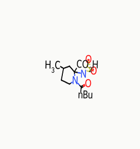 CCCCC(=O)N1CCC(C)CC1(N=S(=O)=O)C(=O)O